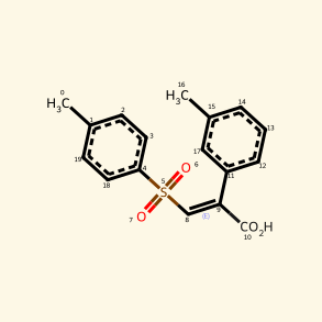 Cc1ccc(S(=O)(=O)/C=C(/C(=O)O)c2cccc(C)c2)cc1